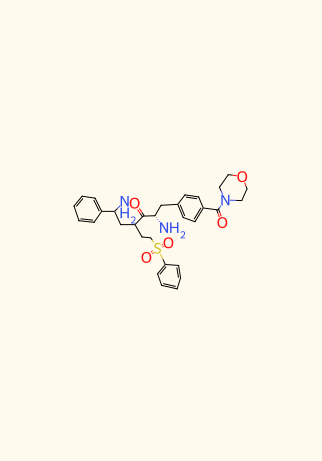 NC(CC(CCS(=O)(=O)c1ccccc1)C(=O)[C@@H](N)Cc1ccc(C(=O)N2CCOCC2)cc1)c1ccccc1